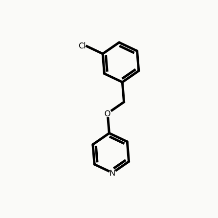 Clc1cccc(COc2ccncc2)c1